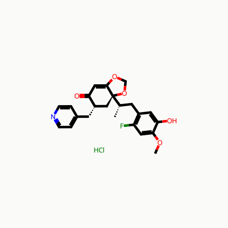 COc1cc(F)c(C[C@H](C)[C@]23C[C@H](Cc4ccncc4)C(=O)C=C2OCO3)cc1O.Cl